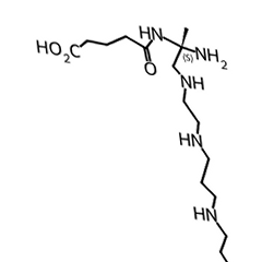 C[C@@](N)(CNCCNCCCNCCN)NC(=O)CCCC(=O)O